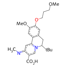 CN=c1cc2n(cc1C(=O)O)C(C(C)(C)C)Cc1cc(OCCCOC)c(OC)cc1-2